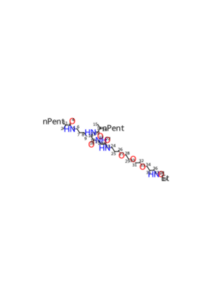 CCCCC[C@H](C)C(=O)NCCCC[C@H](NC(=O)[C@@H](C)CCCCC)C(=O)NCC(=O)NCCCOCCOCCOCCCNOCC